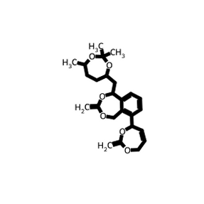 C=C1OCC=CC(c2cccc3c2COC(=C)OC3CC2CCC(C)OC(C)(C)O2)O1